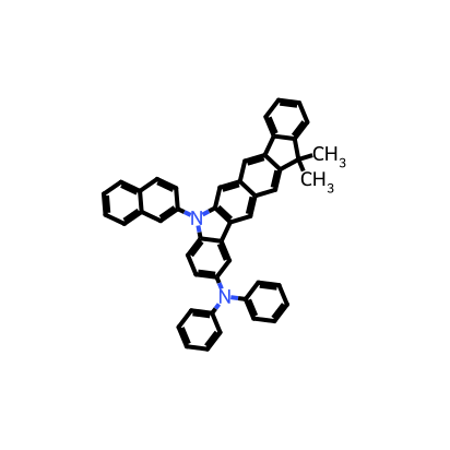 CC1(C)c2ccccc2-c2cc3cc4c(cc3cc21)c1cc(N(c2ccccc2)c2ccccc2)ccc1n4-c1ccc2ccccc2c1